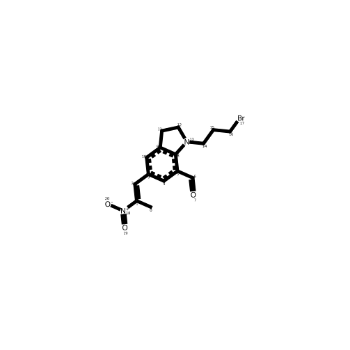 C/C(=C\c1cc(C=O)c2c(c1)CCN2CCCBr)[N+](=O)[O-]